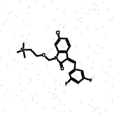 C[Si](C)(C)CCOCN1C(=O)C(=Cc2cc(F)cc(F)c2)c2ccc(Cl)cc21